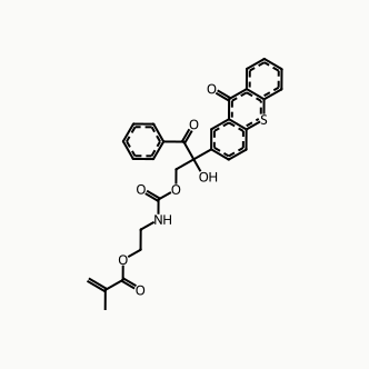 C=C(C)C(=O)OCCNC(=O)OCC(O)(C(=O)c1ccccc1)c1ccc2sc3ccccc3c(=O)c2c1